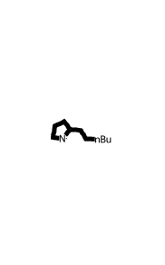 CCCCCCC1CCC[N]1